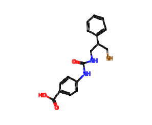 O=C(NCC(CS)c1ccccc1)Nc1ccc(C(=O)O)cc1